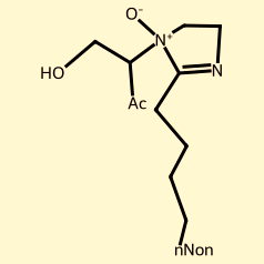 CCCCCCCCCCCCCC1=NCC[N+]1([O-])C(CO)C(C)=O